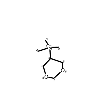 C[Si](C)(C)C1COCOC1